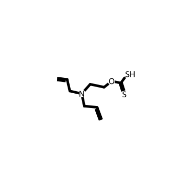 C=CCN(CC=C)CCOC(=S)S